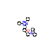 c1ccc(-c2nc(Cc3cccc4c3oc3c(-n5c6ccccc6c6ccccc65)cccc34)nc(-c3ccccc3)n2)cc1